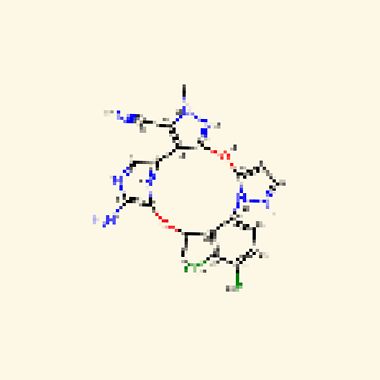 C[C@H]1Oc2nc(cnc2N)-c2c(nn(C)c2C#N)Oc2ccnn2-c2ccc(F)c(Cl)c21